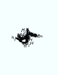 C[C@@H]1NC(=O)[C@@H](N(C)C(=O)[C@H](CCCCN)NC(=O)c2ccc(-c3ccc(C(C)(C)C)cc3)cc2)c2ccc(OCCN)c(c2)-c2cc(ccc2OCCN)C[C@@H](C(=O)O)NC1=O